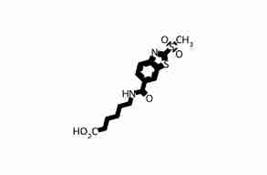 CS(=O)(=O)c1nc2ccc(C(=O)NCCCCCC(=O)O)cc2s1